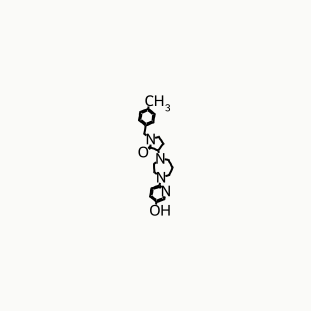 Cc1ccc(CN2CCC(N3CCCN(c4ccc(O)cn4)CC3)C2=O)cc1